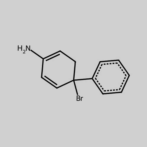 NC1=CCC(Br)(c2ccccc2)C=C1